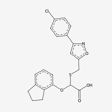 O=C(O)C(Oc1cccc2c1CCC2)SCc1cc(-c2ccc(Cl)cc2)no1